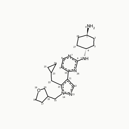 N[C@H]1CC[C@H](Nc2nccc(-c3cnn(CC4CCOC4)c3CC3CC3)n2)CC1